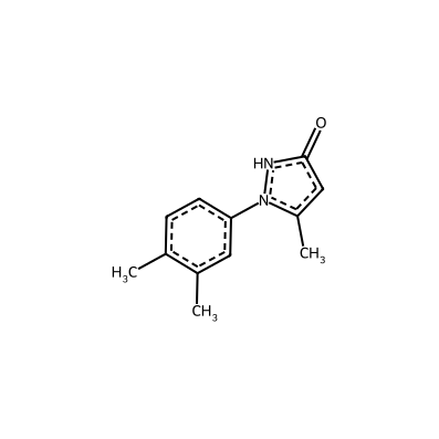 Cc1ccc(-n2[nH]c(=O)cc2C)cc1C